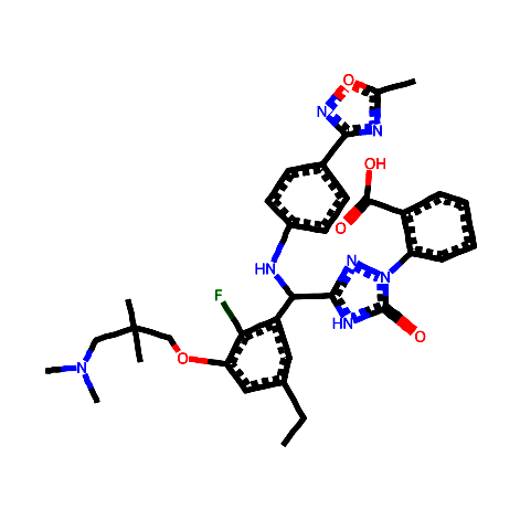 CCc1cc(OCC(C)(C)CN(C)C)c(F)c(C(Nc2ccc(-c3noc(C)n3)cc2)c2nn(-c3ccccc3C(=O)O)c(=O)[nH]2)c1